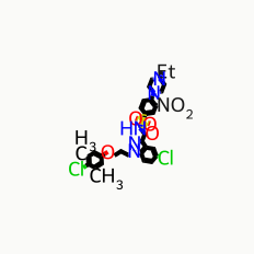 CCN1CCN(c2ccc(S(=O)(=O)NC(=O)c3nn(CCCOc4cc(C)c(Cl)c(C)c4)c4ccc(Cl)cc34)cc2[N+](=O)[O-])CC1